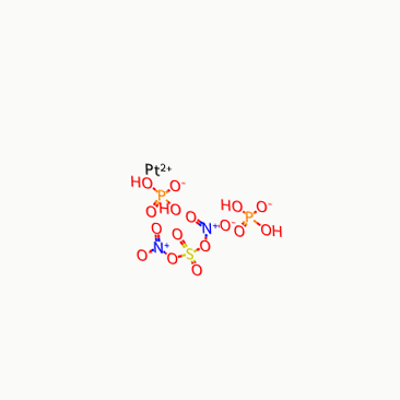 O=P([O-])(O)O.O=P([O-])(O)O.O=[N+]([O-])OS(=O)(=O)O[N+](=O)[O-].[Pt+2]